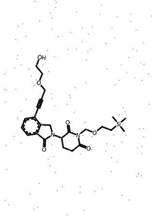 C[Si](C)(C)CCOCN1C(=O)CCC(N2Cc3c(C#CCOCCO)cccc3C2=O)C1=O